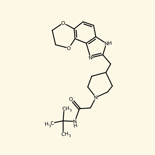 CC(C)(C)NC(=O)CN1CCC(Cc2nc3c4c(ccc3[nH]2)OCCO4)CC1